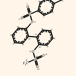 Cc1ccc(S(=O)(=O)Oc2ccccc2-c2ccccc2OS(=O)(=O)C(F)(F)F)cc1